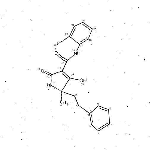 CC1(CCc2ccccc2)NC(=O)C(C(=O)Nc2ccccc2F)=C1O